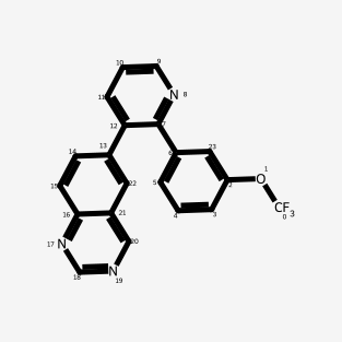 FC(F)(F)Oc1cccc(-c2ncccc2-c2ccc3ncncc3c2)c1